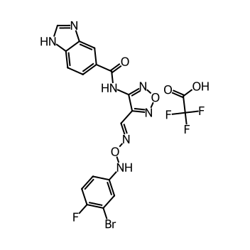 O=C(Nc1nonc1/C=N/ONc1ccc(F)c(Br)c1)c1ccc2[nH]cnc2c1.O=C(O)C(F)(F)F